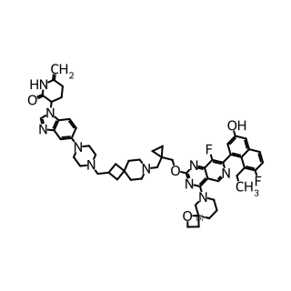 C=C1CCC(n2cnc3cc(N4CCN(CC5CC6(CCN(CC7(COc8nc(N9CCC[C@]%10(CCO%10)C9)c9cnc(-c%10cc(O)cc%11ccc(F)c(CC)c%10%11)c(F)c9n8)CC7)CC6)C5)CC4)ccc32)C(=O)N1